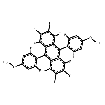 COc1cc(F)c(-c2c3c(F)c(F)c(F)c(F)c3c(-c3c(F)cc(OC)cc3F)c3c(F)c(F)c(F)c(F)c23)c(F)c1